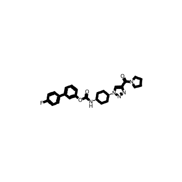 O=C(N[C@H]1CC[C@@H](n2cc(C(=O)N3CCCC3)nn2)CC1)Oc1cccc(-c2ccc(F)cc2)c1